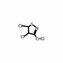 O=CC1=NSC(Cl)C1Cl